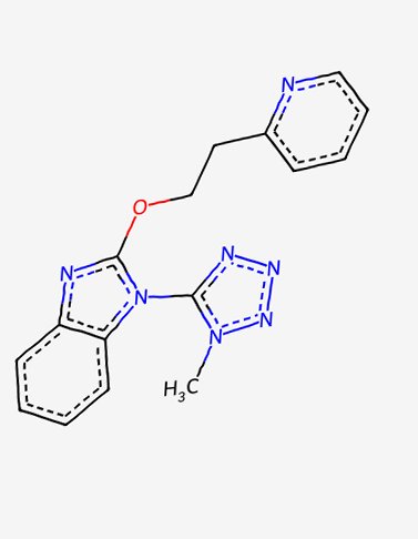 Cn1nnnc1-n1c(OCCc2ccccn2)nc2ccccc21